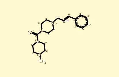 CN1CCN(C(=O)N2CCN(C/C=C/c3ccccc3)CC2)CC1